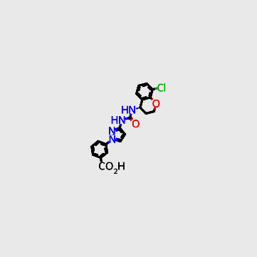 O=C(Nc1ccn(-c2cccc(C(=O)O)c2)n1)N[C@H]1CCOc2c(Cl)cccc21